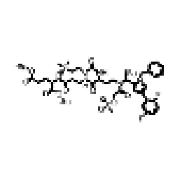 CC(C)(C)OC(=O)CCC(NC(=O)CCNC(=O)C(CCN(C(=O)COS(C)(=O)=O)C(c1cc(-c2cc(F)ccc2F)cn1Cc1ccccc1)C(C)(C)C)NC(=O)OCC[Si](C)(C)C)C(=O)OC(C)(C)C